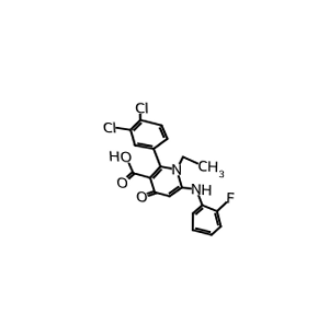 CCn1c(Nc2ccccc2F)cc(=O)c(C(=O)O)c1-c1ccc(Cl)c(Cl)c1